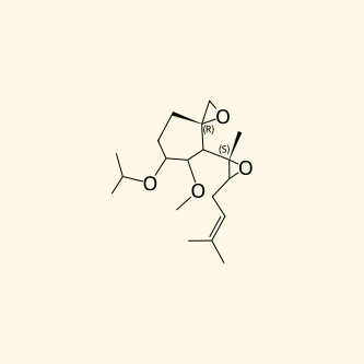 COC1C(OC(C)C)CC[C@]2(CO2)C1[C@]1(C)OC1CC=C(C)C